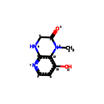 CN1C(=O)CNc2nccc(O)c21